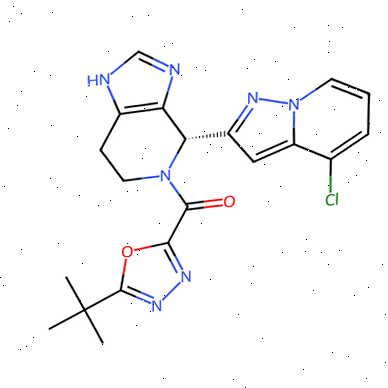 CC(C)(C)c1nnc(C(=O)N2CCc3[nH]cnc3[C@@H]2c2cc3c(Cl)cccn3n2)o1